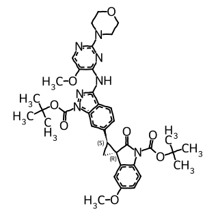 COc1ccc2c(c1)[C@]1(C[C@H]1c1ccc3c(Nc4nc(N5CCOCC5)ncc4OC)nn(C(=O)OC(C)(C)C)c3c1)C(=O)N2C(=O)OC(C)(C)C